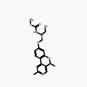 Cc1cc2c(cn1)C(C)Oc1cc(OC[C@H](CC(C)C)NC(=O)OC(C)(C)C)ccc1-2